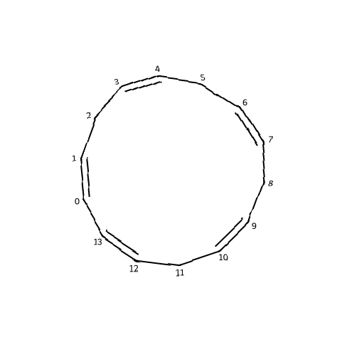 C1=CCC=CCC=CCC=CCC=C1